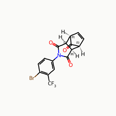 O=C1[C@H]2C=C[C@@H]1[C@@H]1C(=O)N(c3ccc(Br)c(C(F)(F)F)c3)C(=O)[C@@H]12